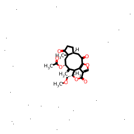 C=C1[C@H](OC(C)=O)C[C@]2(C)C(=O)CC[C@H]2CC(=O)c2occ3c2[C@]1(C)[C@@H](COC)OC3=O